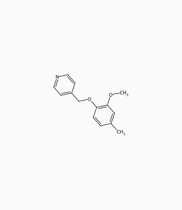 COc1cc(C)ccc1OCc1ccncc1